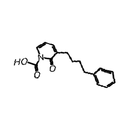 O=C(O)n1cccc(CCCCc2ccccc2)c1=O